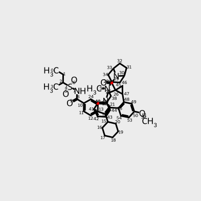 CCC(C)S(=O)(=O)NC(=O)c1ccc2c(C3CCCCC3)c3n(c2c1)CC1(C(=O)N2C4CCC2CC(N(C)Cc2ccccc2)C4)CC1c1cc(OC)ccc1-3